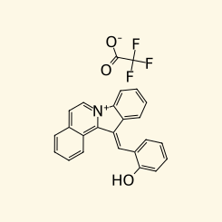 O=C([O-])C(F)(F)F.Oc1ccccc1/C=C1\c2ccccc2-[n+]2ccc3ccccc3c21